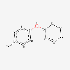 Cc1ccc(OC2C=CCCC2)cc1